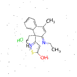 CCN=C1C=C(C)c2ccccc2C1(CC)c1cc(O)sn1.Cl